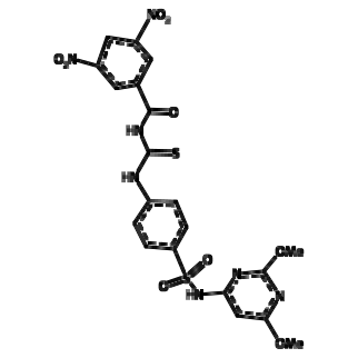 COc1cc(NS(=O)(=O)c2ccc(NC(=S)NC(=O)c3cc([N+](=O)[O-])cc([N+](=O)[O-])c3)cc2)nc(OC)n1